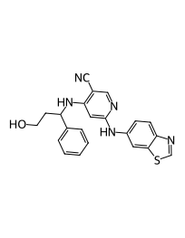 N#Cc1cnc(Nc2ccc3ncsc3c2)cc1NC(CCO)c1ccccc1